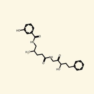 CC(CCC(=O)NCC(=O)C(O)CCc1ccccc1)CNC(=O)c1cccc(O)c1